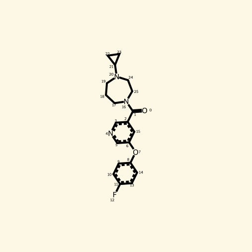 O=C(c1cncc(Oc2ccc(F)cc2)c1)N1CCCN(C2CC2)CC1